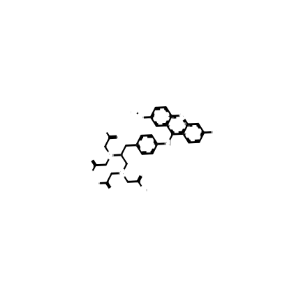 COc1ccc2nc3cc(Cl)ccc3c(Nc3ccc(CC(CN(CC(=O)O)CC(=O)O)N(CC(=O)O)CC(=O)O)cc3)c2c1